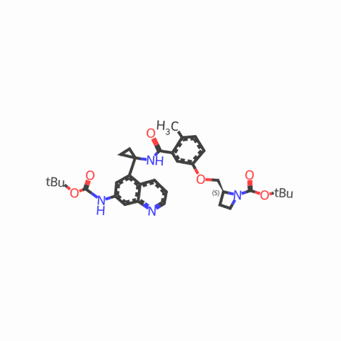 Cc1ccc(OC[C@@H]2CCN2C(=O)OC(C)(C)C)cc1C(=O)NC1(c2cc(NC(=O)OC(C)(C)C)cc3ncccc23)CC1